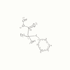 CCC(O)(Cc1ccccc1)C(=O)OO